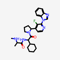 CNC(C)C(=O)NC(C(=O)N1CCCC1c1ccnc(-n2cnc3ccccc32)c1F)C1CCCCC1